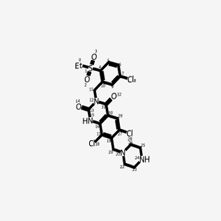 CCS(=O)(=O)c1ccc(Cl)cc1Cn1c(=O)[nH]c2c(Cl)c(CN3CCNCC3)c(Cl)cc2c1=O